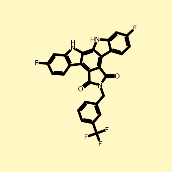 O=C1c2c(c3c4ccc(F)cc4[nH]c3c3[nH]c4cc(F)ccc4c23)C(=O)N1Cc1cccc(C(F)(F)F)c1